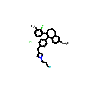 Cl.O=C(O)c1ccc2c(c1)CCCC(c1cccc(C(F)(F)F)c1Cl)=C2c1ccc(CC2CN(CCCF)C2)cc1